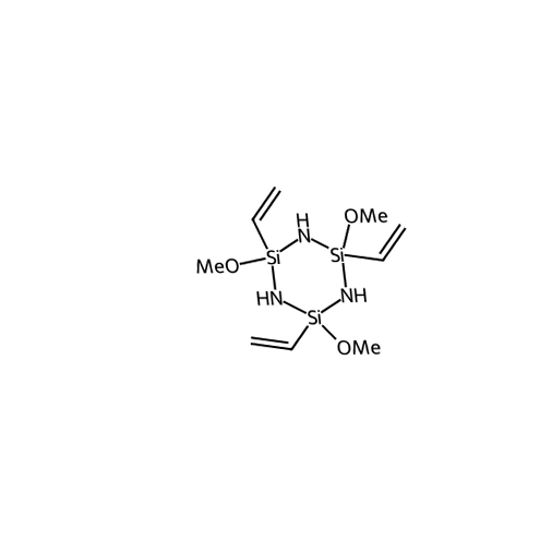 C=C[Si]1(OC)N[Si](C=C)(OC)N[Si](C=C)(OC)N1